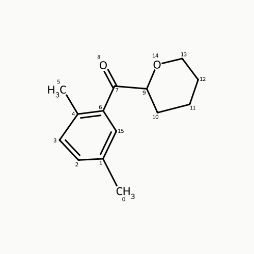 Cc1ccc(C)c(C(=O)C2CCCCO2)c1